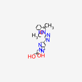 COc1ccccc1[C@H](C)CNc1cc(-c2cnc3c(cnn3C[C@@H](O)CO)c2)ncn1